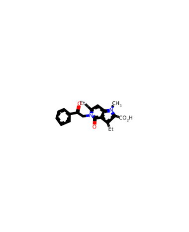 CCc1c(C(=O)O)n(C)c2cc(CC)n(CC(=O)c3ccccc3)c(=O)c12